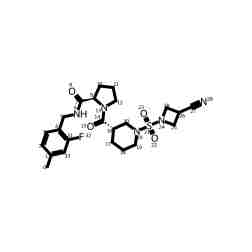 Cc1ccc(CNC(=O)[C@H]2CCCN2C(=O)[C@H]2CCCN(S(=O)(=O)N3CC(C#N)C3)C2)c(F)c1